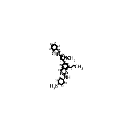 CCCc1cc(-c2cc(NSc3ccccc3Cl)nn2C)cc2cnc(N[C@H]3CC[C@H](N)CC3)nc12